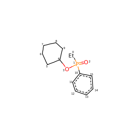 CCP(=O)(OC1CCCCC1)c1ccccc1